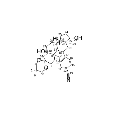 CC1(C)COC2(CC[C@@]34Cc5cc(C#N)ccc5C5C[C@]6(C)[C@@H](O)CC[C@H]6[C@H](CC[C@@]3(O)C2)C54)OC1